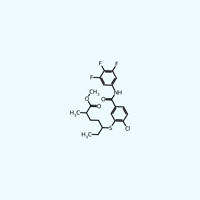 CCC(CCC(C)C(=O)OC)Sc1cc(C(=O)Nc2cc(F)c(F)c(F)c2)ccc1Cl